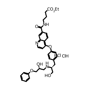 CCOC(=O)CCCNC(=O)c1ccc2c(Oc3ccc(C[C@@H](CO)NC[C@H](O)COc4ccccc4)cc3)ccnc2c1.Cl.Cl